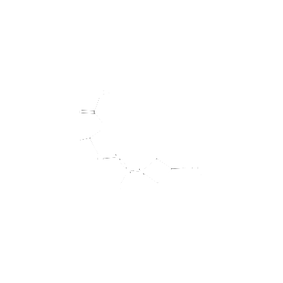 CC(O/N=[N+](\[O-])N1CC(C(=O)O)C1)OC(=O)C(C)C